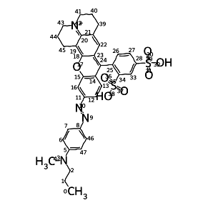 CCCN(C)c1ccc(/N=N/c2ccc3c(c2)Oc2c4c5c(cc2=C3c2ccc(S(=O)(=O)O)cc2S(=O)(=O)O)CCC[N+]=5CCC4)cc1